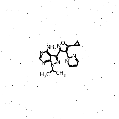 CC(C)n1nc(-c2noc(C3CC3)c2-c2ncccn2)c2c(N)ncnc21